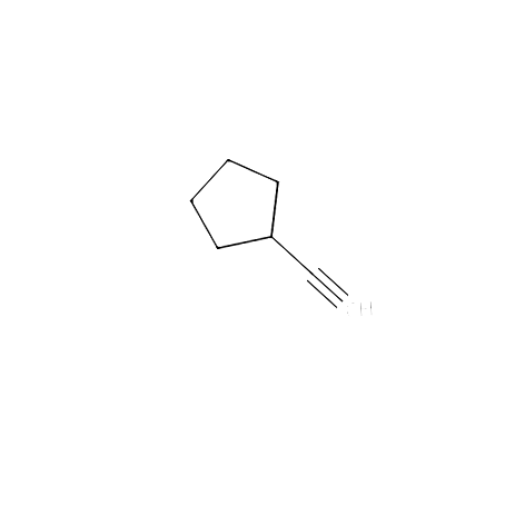 C#CC1C[CH]CC1